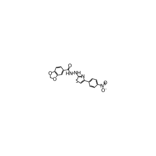 O=C(NNc1nc(-c2ccc([N+](=O)[O-])cc2)cs1)c1ccc2c(c1)OCO2